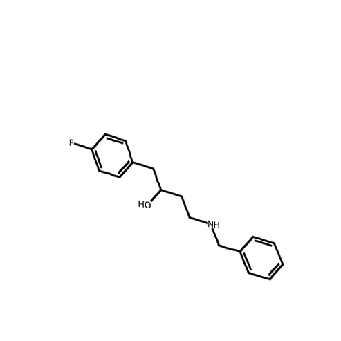 OC(CCNCc1ccccc1)Cc1ccc(F)cc1